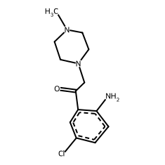 CN1CCN(CC(=O)c2cc(Cl)ccc2N)CC1